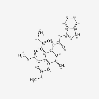 CCC(=O)OC1=C(OC(=O)CC)[C@@H](OC(=O)CC)[C@H](OC(=O)Cc2c[nH]c3ccccc23)O[C@H]1C